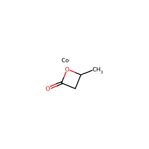 CC1CC(=O)O1.[Co]